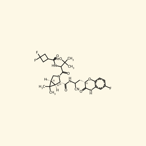 COC(C)(C)C(NC(=O)C1CC(F)(F)C1)C(=O)N1C[C@H]2[C@@H]([C@H]1C(=O)NC(C#N)C[C@@H]1Oc3ccc(F)cc3NC1=O)C2(C)C